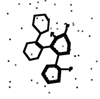 Fc1ccccc1-c1ccc(F)c(F)c1C1=C(C2CCCCC2)CCCC1